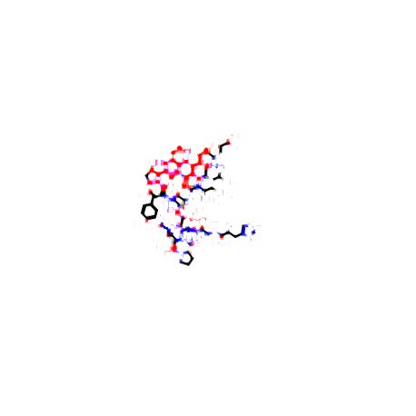 CC[C@H](C)[C@H](NC(=O)[C@H](CO)NC(=O)[C@@H]1CCCN1C(=O)[C@H](Cc1ccc(O)cc1)NC(=O)[C@H](CO)NC(=O)[C@H](CC(N)=O)NC(=O)[C@H](CO)NC(=O)[C@@H]1CCCN1C(=O)[C@H](CCC(N)=O)NC(=O)[C@H](CO)NC(=O)CNC(=O)[C@@H](N)Cc1c[nH]cn1)C(=O)N[C@H](C(=O)N[C@@H](CO)C(=O)N[C@@H](CC(=O)O)C(=O)N[C@@H](CO)C(=O)N[C@@H](CO)C(=O)N[C@@H](C)C(=O)N[C@@H](CC(C)C)C(=O)N[C@@H](CCC(=O)O)C(=O)O)[C@@H](C)CC